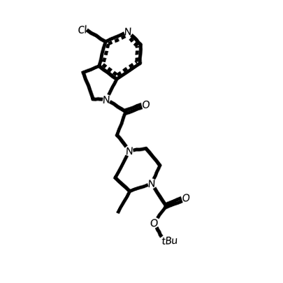 CC1CN(CC(=O)N2CCc3c2ccnc3Cl)CCN1C(=O)OC(C)(C)C